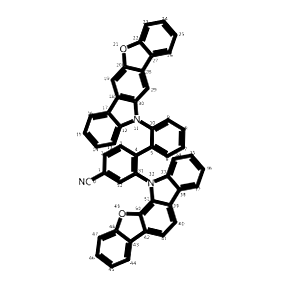 N#Cc1ccc(-c2ccccc2-n2c3ccccc3c3cc4oc5ccccc5c4cc32)c(-n2c3ccccc3c3ccc4c5ccccc5oc4c32)c1